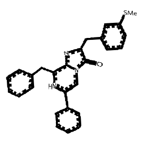 CSc1cccc(Cc2nc3c(Cc4ccccc4)[nH]c(-c4ccccc4)cn-3c2=O)c1